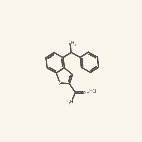 CC(c1ccccc1)c1cccc2sc(C(=N)N)cc12.Cl